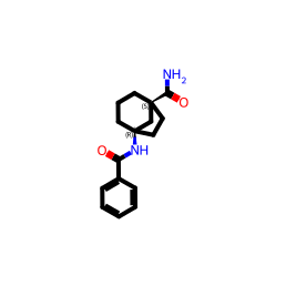 NC(=O)[C@@]12CCC[C@@](NC(=O)c3ccccc3)(CC1)C2